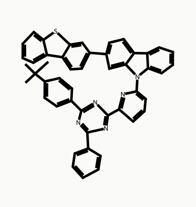 CC(C)(C)c1ccc(-c2nc(-c3ccccc3)nc(-c3cccc(-n4c5ccccc5c5ccc(-c6ccc7c(c6)sc6ccccc67)cc54)n3)n2)cc1